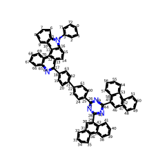 c1ccc(-n2c3ccccc3c3c4c(ccc32)c(-c2ccc(-c3ccc(-c5nc(-c6cc7ccccc7c7ccccc67)nc(-c6cc7ccccc7c7ccccc67)n5)cc3)cc2)nc2ccccc24)cc1